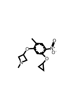 Cc1cc([N+](=O)[O-])c(OC2CC2)cc1OC1CN(C)C1